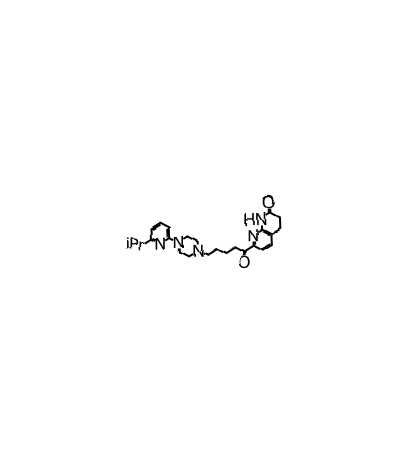 CC(C)c1cccc(N2CCN(CCCCC(=O)c3ccc4c(n3)NC(=O)CC4)CC2)n1